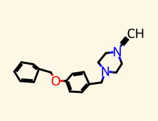 C#CN1CCN(Cc2ccc(OCc3ccccc3)cc2)CC1